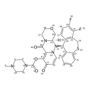 CN1CCN(C(=O)Oc2c3n(ccc2=O)N([C@@H]2c4ccccc4SCc4c2ccc(F)c4F)[C@@H]2COCCN2C3=O)CC1